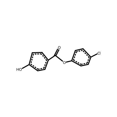 O=C(Oc1ccc(Cl)cc1)c1ccc(O)cc1